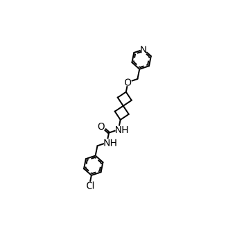 O=C(NCc1ccc(Cl)cc1)NC1CC2(C1)CC(OCc1ccncc1)C2